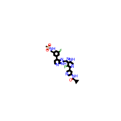 CS(=O)(=O)NCc1cc(F)cc(-c2ccnc3[nH]c(-c4n[nH]c5cnc(-c6cncc(NC(=O)C7CC7)c6)c(F)c45)nc23)c1